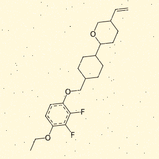 C=CC1CCC(C2CCC(COc3ccc(OCC)c(F)c3F)CC2)OC1